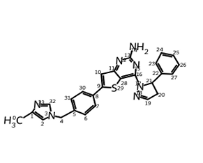 Cc1cn(Cc2ccc(-c3cc4nc(N)nc(N5N=CCC5c5ccccc5)c4s3)cc2)cn1